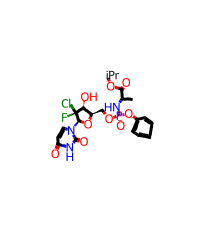 CC(C)OC(=O)C(C)NP(=O)(OC[C@H]1O[C@@H](n2ccc(=O)[nH]c2=O)[C@](F)(Cl)[C@@H]1O)Oc1ccccc1